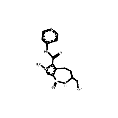 Cn1cc2c(c1C(=O)Nc1ccncc1)CCC(CO)NS2=N